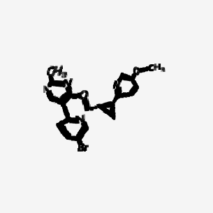 COc1ccc([C@H]2C[C@@H]2COc2nc(C)ncc2-c2ccc(Br)cn2)nc1